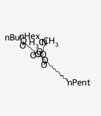 CCCCC/C=C/C/C=C/CCCCCCCC(=O)OCC(COC(=O)CCCCCC(=O)OCC(CCCC)CCCCCC)OC(=O)CCCN(C)C